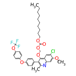 CCCCCCCCCCOC(=O)OCOc1c(-c2ccc(Oc3ccc(OC(F)(F)F)cc3)cc2)c(C)nc2cc(OC)c(Cl)cc12